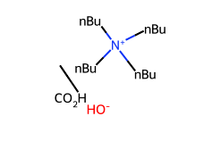 CC(=O)O.CCCC[N+](CCCC)(CCCC)CCCC.[OH-]